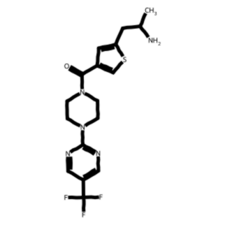 CC(N)Cc1cc(C(=O)N2CCN(c3ncc(C(F)(F)F)cn3)CC2)cs1